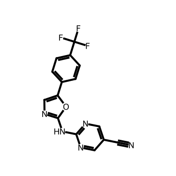 N#Cc1cnc(Nc2ncc(-c3ccc(C(F)(F)F)cc3)o2)nc1